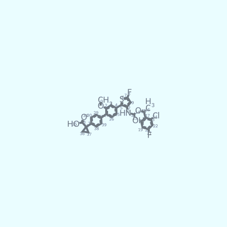 COc1cc(-c2sc(F)cc2NC(O)O[C@H](C)c2ccc(F)cc2Cl)ccc1-c1ccc(C2(C(=O)O)CC2)cc1